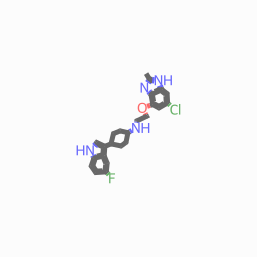 Cc1nc2c(OCCNC3CCC(c4c[nH]c5ccc(F)cc45)CC3)cc(Cl)cc2[nH]1